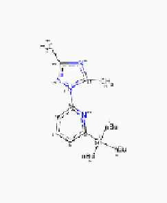 CCC[CH2][Sn]([CH2]CCC)([CH2]CCC)[c]1cccc(-n2nc(C)nc2C)n1